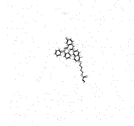 C=CC(=O)OCCCCOc1ccc2cc(C(=O)Cc3ccc(C)cc3/C=N/N(c3ccccc3)c3ccccc3)ccc2c1